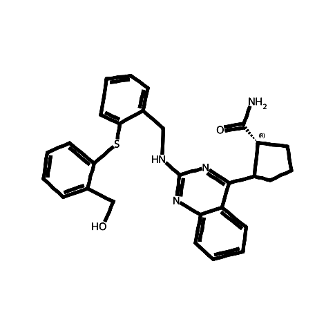 NC(=O)[C@@H]1CCCC1c1nc(NCc2ccccc2Sc2ccccc2CO)nc2ccccc12